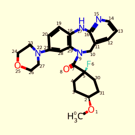 CO[C@H]1CC[C@](F)(C(=O)N2Cc3cccnc3Nc3ccc(N4CCOCC4)cc32)CC1